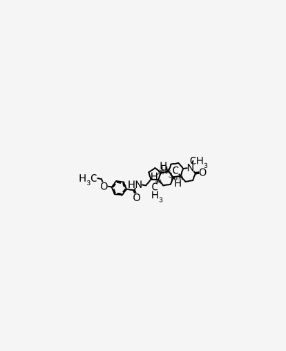 CCOc1ccc(C(=O)NCC2CC[C@H]3[C@@H]4CCC5N(C)C(=O)CC[C@]5(C)[C@@H]4CC[C@]23C)cc1